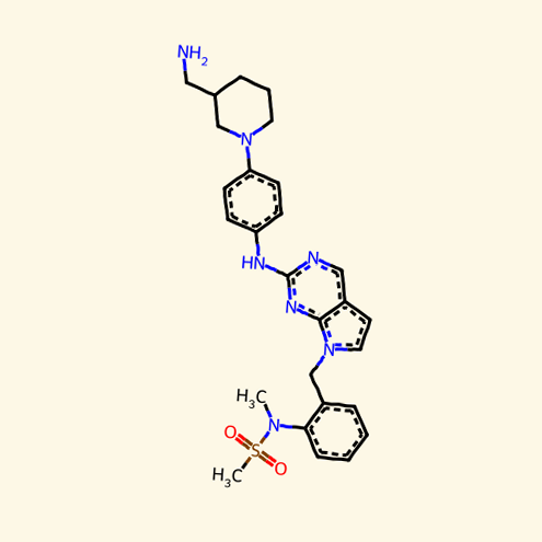 CN(c1ccccc1Cn1ccc2cnc(Nc3ccc(N4CCCC(CN)C4)cc3)nc21)S(C)(=O)=O